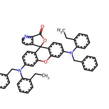 CCc1ccccc1N(Cc1ccccc1)c1ccc2c(c1)Oc1cc(N(Cc3ccccc3)c3ccccc3CC)ccc1C21OC(=O)c2ncccc21